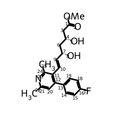 COC(=O)C[C@H](O)C[C@H](O)/C=C/c1c(-c2ccc(F)cc2)cc(C)nc1C